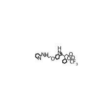 O=C(CC(c1ccccc1)c1c[nH]c2cc(OCCCCNc3ccccn3)ccc12)OC(=O)C(F)(F)F